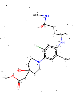 COc1cc(N2CCC(O)(CC(=O)OC(C)(C)C)CC2)c(F)cc1NC(C)CCC(=O)NC=O